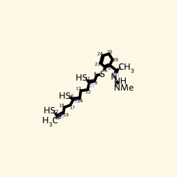 CNN/N=C(\C)C1=C(SC/C=C(\S)CC/C=C(\S)CC/C=C(/C)S)C=CCC1